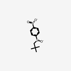 CC(C)(C)C[S+]([O-])c1ccc([N+](=O)[O-])cc1